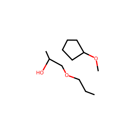 CCCOCC(C)O.COC1CCCC1